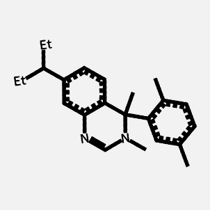 CCC(CC)c1ccc2c(c1)N=CN(C)C2(C)c1cc(C)ccc1C